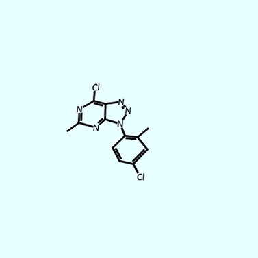 Cc1nc(Cl)c2nnn(-c3ccc(Cl)cc3C)c2n1